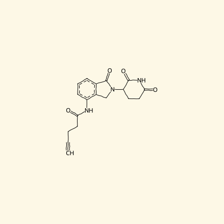 C#CCCC(=O)Nc1cccc2c1CN(C1CCC(=O)NC1=O)C2=O